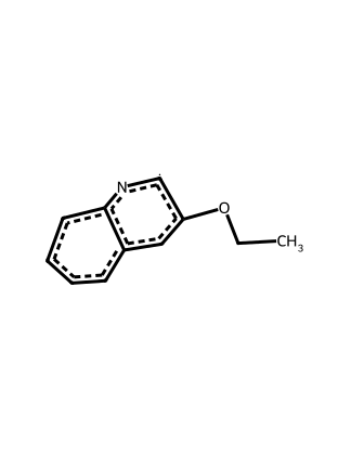 CCOc1[c]nc2ccccc2c1